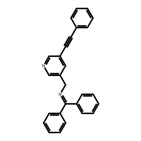 C(#Cc1cncc(CN=C(c2ccccc2)c2ccccc2)c1)c1ccccc1